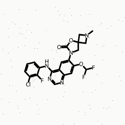 CN1CC2(C1)CN(c1cc3c(Nc4cccc(Cl)c4F)ncnc3cc1OC(F)F)C(=O)O2